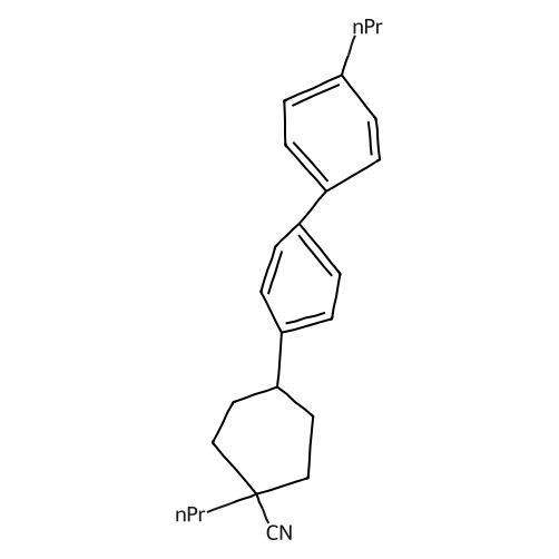 CCCc1ccc(-c2ccc(C3CCC(C#N)(CCC)CC3)cc2)cc1